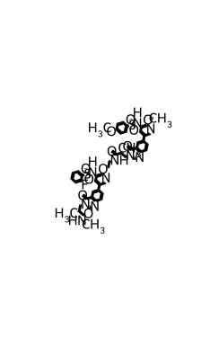 CNC(=O)[C@@H](C)Cn1cnc2ccc(-c3cnc(OCCNC(=O)[C@H](C)Cn4cnc5ccc(-c6cnc(OC)c(NS(=O)(=O)c7ccc(OC)cc7)c6)cc5c4=O)c(NS(=O)(=O)c4ccccc4F)c3)cc2c1=O